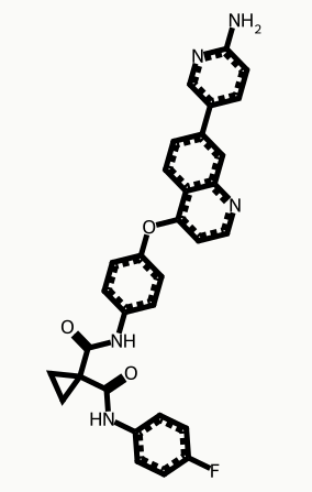 Nc1ccc(-c2ccc3c(Oc4ccc(NC(=O)C5(C(=O)Nc6ccc(F)cc6)CC5)cc4)ccnc3c2)cn1